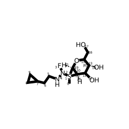 CS1(N(F)NCCC2CC2)[C@@H]2C(O)[C@@H](O)C(CO)O[C@@H]21